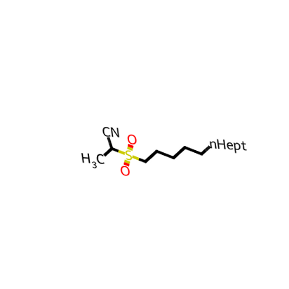 CCCCCCCCCCCCS(=O)(=O)C(C)C#N